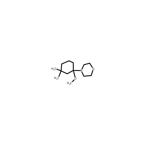 COC1(N2CCOCC2)CCCC(C)(C)C1